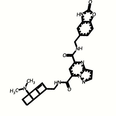 CN(C)C12CC3C1C1C2=CC31CNC(=O)c1cc(C(=O)NCc2ccc3oc(=O)[nH]c3c2)nc2ccnn12